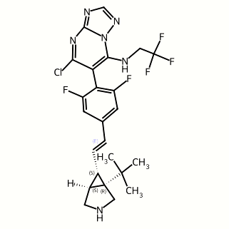 CC(C)(C)[C@]12CNC[C@H]1[C@@H]2/C=C/c1cc(F)c(-c2c(Cl)nc3ncnn3c2NCC(F)(F)F)c(F)c1